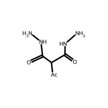 CC(=O)C(C(=O)NN)C(=O)NN